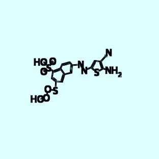 N#Cc1cc(N=Nc2ccc3c(S(=O)(=O)O)cc(SOOO)cc3c2)sc1N